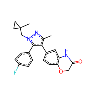 Cc1nn(CC2(C)CC2)c(-c2ccc(F)cc2)c1-c1ccc2c(c1)NC(=O)CO2